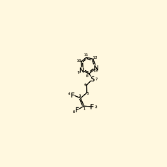 FC(F)=C(F)CCSc1ncccn1